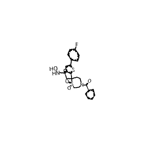 O=C(CC1(c2ccc(-c3ccc(F)cc3)s2)CCN(C(=O)c2ccccc2)CCS1(=O)=O)NO